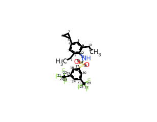 CCc1cc(C2CC2)cc(CC)c1NS(=O)(=O)c1cc(C(F)(F)F)cc(C(F)(F)F)c1